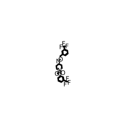 O=S(=O)(c1cccc(C(F)(F)F)c1)N1CCC(=NOCc2cccc(C(F)(F)F)c2)CC1